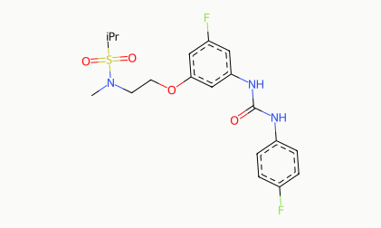 CC(C)S(=O)(=O)N(C)CCOc1cc(F)cc(NC(=O)Nc2ccc(F)cc2)c1